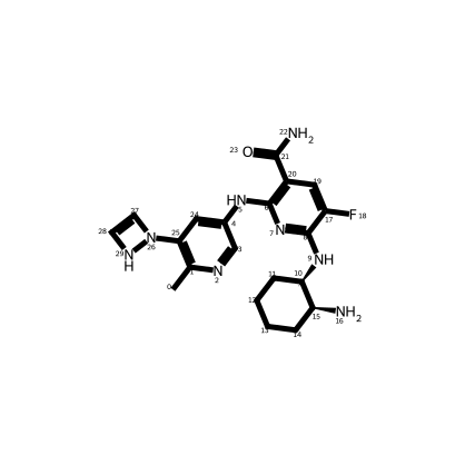 Cc1ncc(Nc2nc(N[C@@H]3CCCC[C@@H]3N)c(F)cc2C(N)=O)cc1-n1cc[nH]1